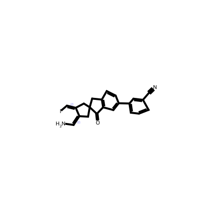 N#Cc1cccc(-c2ccc3c(c2)C(=O)C2(CC(=C/N)/C(=C\I)C2)C3)c1